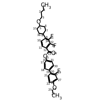 CCCCOC1CCC(c2ccc(C(=O)Oc3ccc(-c4ccc(OCC)cc4F)cc3)c(F)c2F)CC1